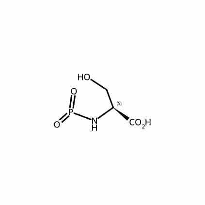 O=C(O)[C@H](CO)NP(=O)=O